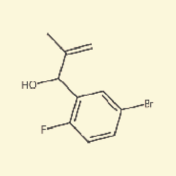 C=C(C)C(O)c1cc(Br)ccc1F